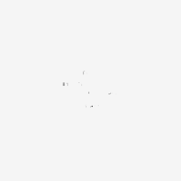 CCCCCCCC(CCCCCCC)N(C(C)C)C(C)C